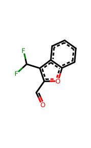 O=Cc1oc2ccccc2c1C(F)F